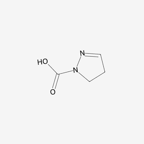 O=C(O)N1CCC=N1